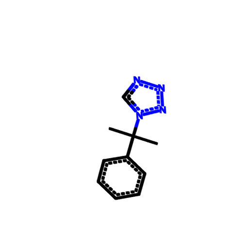 CC(C)(c1ccccc1)n1cnnn1